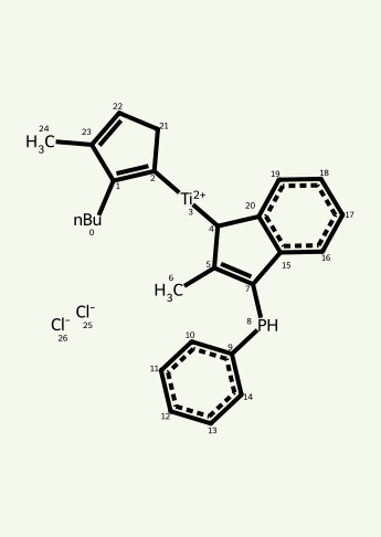 CCCCC1=[C]([Ti+2][CH]2C(C)=C(Pc3ccccc3)c3ccccc32)CC=C1C.[Cl-].[Cl-]